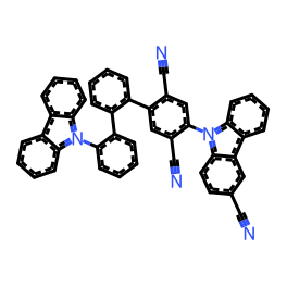 N#Cc1ccc2c(c1)c1ccccc1n2-c1cc(C#N)c(-c2ccccc2-c2ccccc2-n2c3ccccc3c3ccccc32)cc1C#N